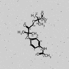 CC(=O)Nc1ccc(OC(C)(C)C(=O)COC(C)(C)[N+](=O)[O-])cc1